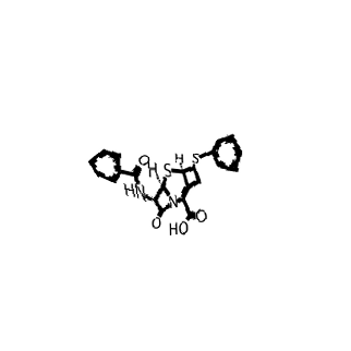 O=C(O)C1=C2C[C@@H](Sc3ccccc3)[C@@H]2S[C@@H]2[C@H](NC(=O)c3ccccc3)C(=O)N12